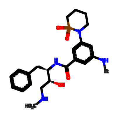 CCNc1cc(C(=O)N[C@@H](Cc2ccccc2)[C@H](O)CNC(=O)O)cc(N2CCCCS2(=O)=O)c1